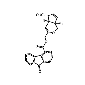 O=C[C@@H]1C=C[C@@H]2COC(COC(=O)c3cccc4c3-c3ccccc3C4=O)=C[C@H]12